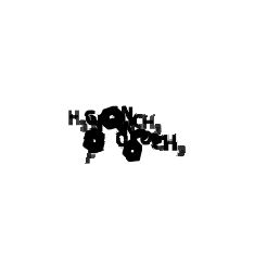 CCOCC(c1ccccc1)n1c(C)nc2ccc(N(C)c3ccc(F)cc3)cc2c1=O